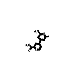 Cc1cc(-c2[c]c(C(N)=O)ncc2)cc(N)n1